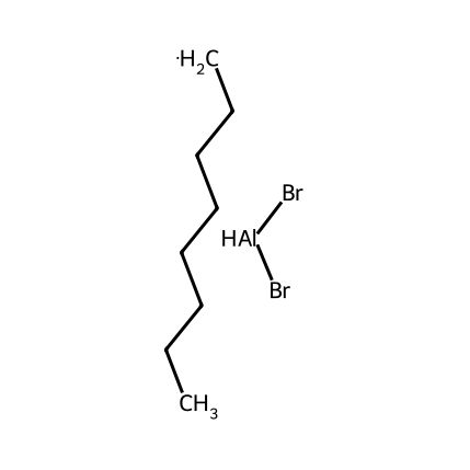 [Br][AlH][Br].[CH2]CCCCCCC